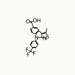 Cc1snc2c1c1cc(C(=O)O)ccc1n2-c1ccc(C(F)(F)F)cc1